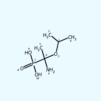 CC(C)OC(C)(N)P(=O)(O)O